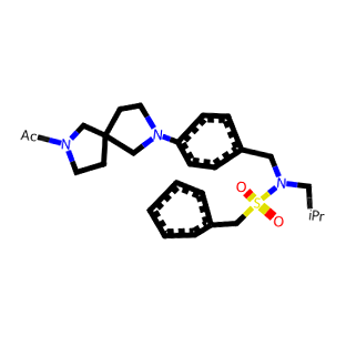 CC(=O)N1CCC2(CCN(c3ccc(CN(CC(C)C)S(=O)(=O)Cc4ccccc4)cc3)C2)C1